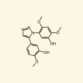 COc1ccc(-c2cnnn2-c2cc(O)c(OC)cc2OC)cc1O